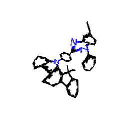 Cc1ccc2c(c1)nc(-c1ccc(-n3c4ccccc4c4ccc5c(c43)C(C)(C)c3ccccc3-5)cc1)n2-c1ccccc1